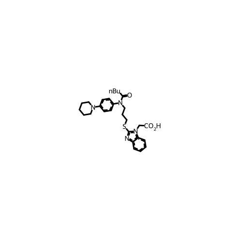 CCCCC(=O)N(CCCSc1nc2ccccc2n1CC(=O)O)c1ccc(N2CCCCC2)cc1